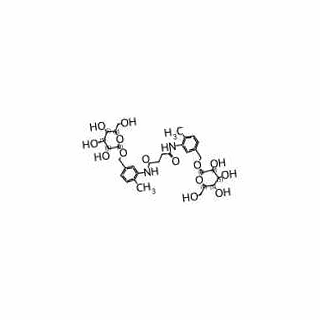 Cc1ccc(CO[C@@H]2O[C@H](CO)[C@@H](O)[C@H](O)[C@H]2O)cc1NC(=O)CCC(=O)Nc1cc(CO[C@@H]2O[C@H](CO)[C@@H](O)[C@H](O)[C@H]2O)ccc1C